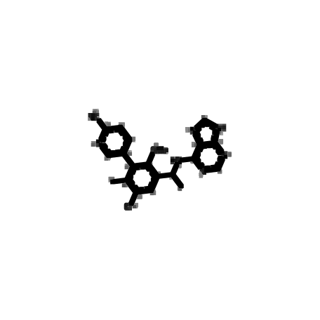 COc1c(C(C)Nc2ncnc3[nH]cnc23)cc(Cl)c(C)c1-c1ccc(C#N)nc1